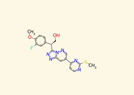 COc1ccc([C@@H](CO)c2nnc3cc(-c4ccnc(SC)n4)cnn23)cc1F